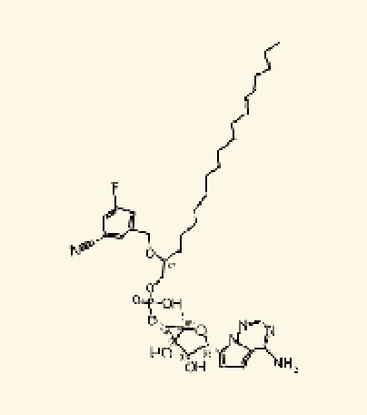 CCCCCCCCCCCCCCCCC[C@@H](COP(=O)(O)O[C@H]1[C@]2(O)[C@@H](O)[C@@H](c3ccc4c(N)ncnn34)O[C@]12C)OCc1cc(F)cc(C#N)c1